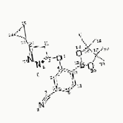 C[N+]1=C(Oc2cc(C#N)ccc2B2OC(C)(C)C(C)(C)O2)CC(C2CC2)=N1